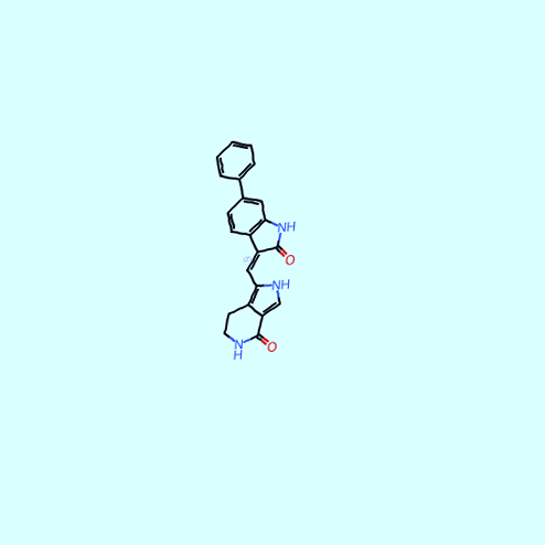 O=C1Nc2cc(-c3ccccc3)ccc2/C1=C/c1[nH]cc2c1CCNC2=O